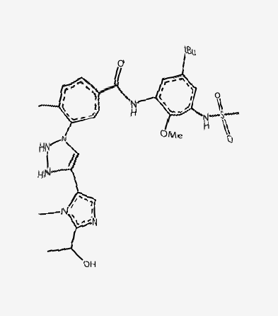 COc1c(NC(=O)c2ccc(C)c(N3C=C(c4cnc(C(C)O)n4C)NN3)c2)cc(C(C)(C)C)cc1NS(C)(=O)=O